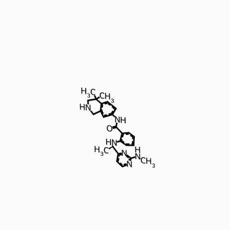 CNc1nccc([C@@H](C)Nc2ccccc2C(=O)Nc2ccc3c(c2)CNCC3(C)C)n1